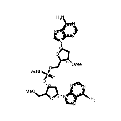 COCC1O[C@@H](n2cnc3c(N)ncnc32)C[C@H]1OP(=O)(NC(C)=O)OCC1O[C@@H](n2cnc3c(N)ncnc32)C[C@H]1OC